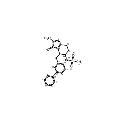 Cc1cn2n(c1=O)C(Cc1cccc(-c3ccccc3)c1)C(NS(C)(=O)=O)CC2